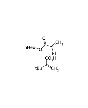 C=C(C(=O)O)C(C)(C)C.C=C(CC)C(=O)OCCCCCC